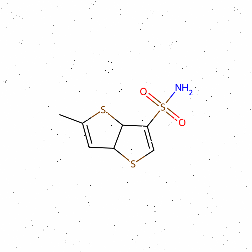 CC1=CC2SC=C(S(N)(=O)=O)C2S1